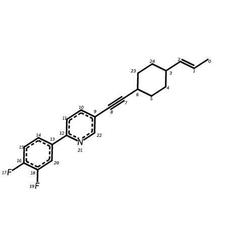 CC=CC1CCC(C#Cc2ccc(-c3ccc(F)c(F)c3)nc2)CC1